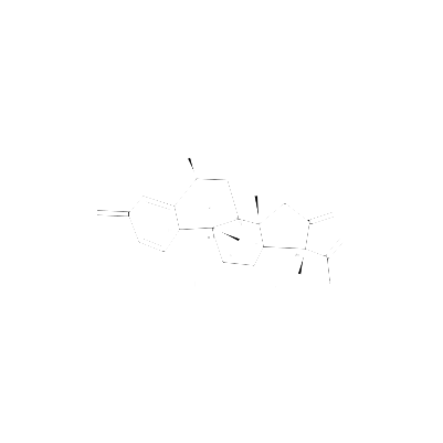 C=C1C[C@H]2[C@@H]3C[C@H](F)C4=CC(=O)C=C[C@]4(C)[C@@]3(Cl)[C@@H](O)C[C@]2(C)[C@@]1(O)C(=O)C(=O)O